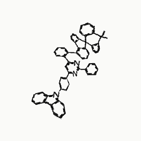 CC1(C)c2ccccc2C2(c3ccccc3-c3c(-c4ccccc4-c4cc(C5=CC=C(n6c7ccccc7c7ccccc76)CC5)nc(-c5ccccc5)n4)cccc32)c2ccccc21